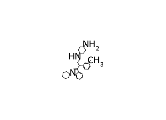 Cc1cccc(C(CCNC2CCC(N)CC2)c2cn(C3CCCCC3)c3ccccc23)c1